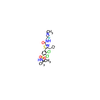 C[C@H](NS(=O)(=O)c1ccc(-c2sc(C(=O)NCC3(F)CN(C)C3)nc2CC2CCC2)c(Cl)c1Cl)C(F)(F)F